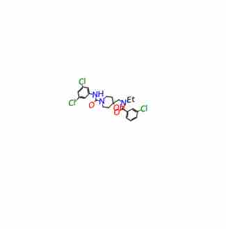 CCN(CC1(O)CCN(C(=O)Nc2cc(Cl)cc(Cl)c2)CC1)C(=O)c1cccc(Cl)c1